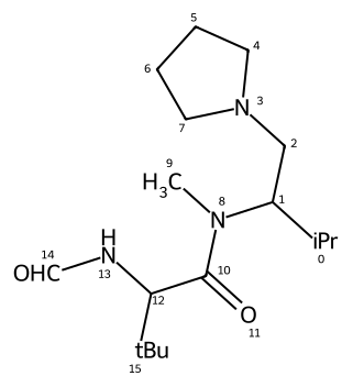 CC(C)C(CN1CCCC1)N(C)C(=O)C(NC=O)C(C)(C)C